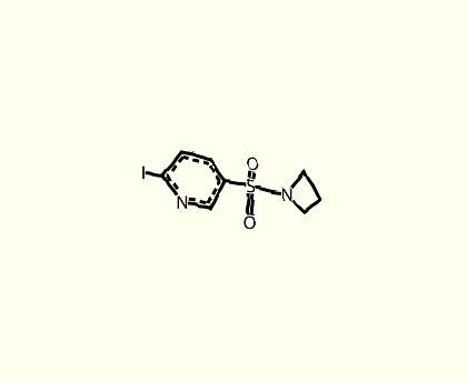 O=S(=O)(c1ccc(I)nc1)N1CCC1